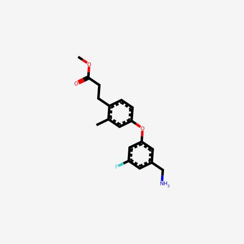 COC(=O)CCc1ccc(Oc2cc(F)cc(CN)c2)cc1C